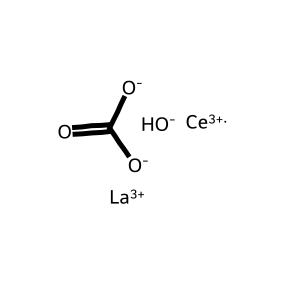 O=C([O-])[O-].[Ce+3].[La+3].[OH-]